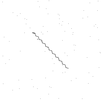 C=CCC[CH]CCCCCCCCCCCCCCCCC